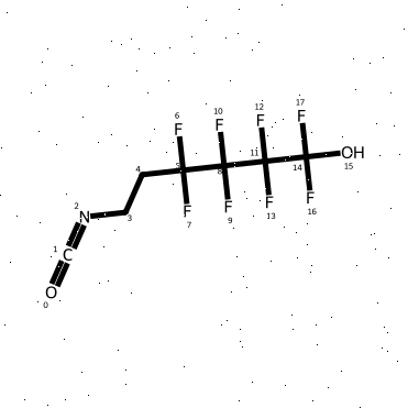 O=C=NCCC(F)(F)C(F)(F)C(F)(F)C(O)(F)F